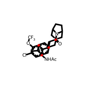 CC(=O)Nc1cc(Cl)c(OC(F)(F)F)cc1C=CC(=O)N1C2CCC1CN(Cc1ccc(F)cc1)C2